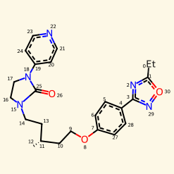 CCc1nc(-c2ccc(OCC[C@H](C)CCN3CCN(c4ccncc4)C3=O)cc2)no1